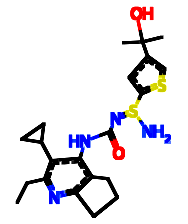 CCc1nc2c(c(NC(=O)N=S(N)c3cc(C(C)(C)O)cs3)c1C1CC1)CCC2